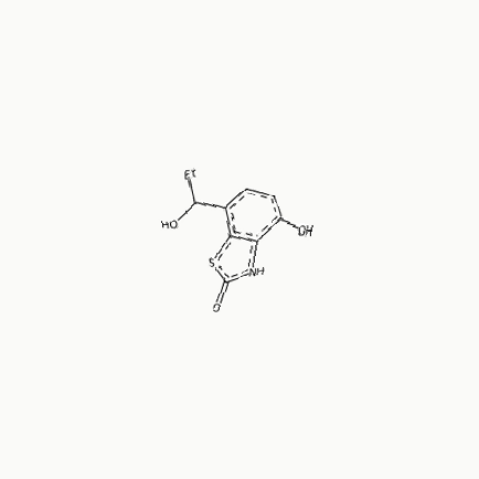 CCC(O)c1ccc(O)c2[nH]c(=O)sc12